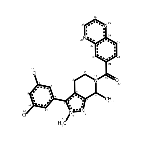 CC1c2nn(C)c(-c3cc(Cl)cc(Cl)c3)c2CCN1C(=O)c1ccc2nccnc2c1